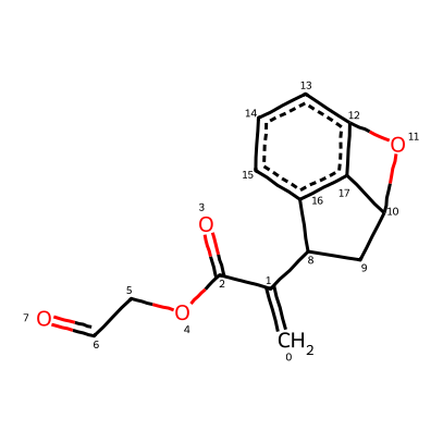 C=C(C(=O)OCC=O)C1CC2Oc3cccc1c32